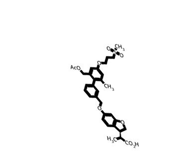 CC(=O)OCc1cc(OCCCS(C)(=O)=O)cc(C)c1-c1cccc(COc2ccc3c(c2)OC[C@H]3C(C)C(=O)O)c1